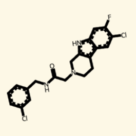 O=C(CN1CCc2c([nH]c3cc(F)c(Cl)cc23)C1)NCc1cccc(Cl)c1